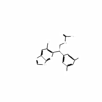 O=C(O)NC[C@@H](c1cc(F)cc(F)c1)c1nc2[nH]cnc2cc1Br